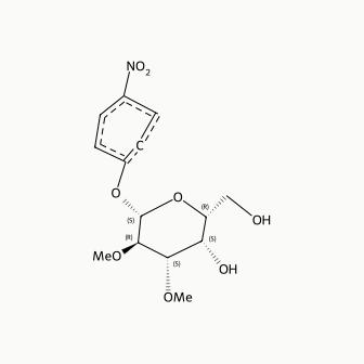 CO[C@H]1[C@H](Oc2ccc([N+](=O)[O-])cc2)O[C@H](CO)[C@H](O)[C@@H]1OC